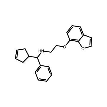 C1=CCC(C(NCCOc2cccc3ccoc23)c2ccccc2)C1